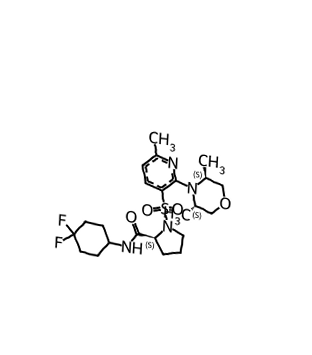 Cc1ccc(S(=O)(=O)N2CCC[C@H]2C(=O)NC2CCC(F)(F)CC2)c(N2[C@@H](C)COC[C@@H]2C)n1